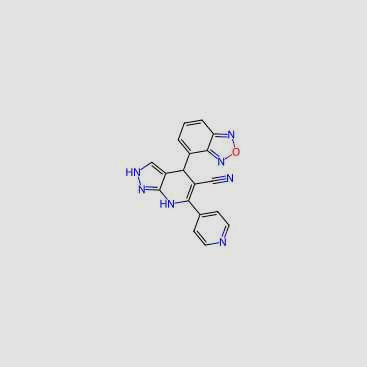 N#CC1=C(c2ccncc2)Nc2n[nH]cc2C1c1cccc2nonc12